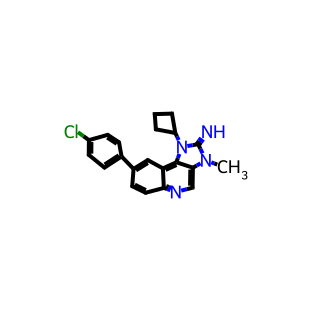 Cn1c(=N)n(C2CCC2)c2c3cc(-c4ccc(Cl)cc4)ccc3ncc21